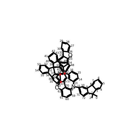 CC1(C)c2ccccc2-c2cc(N(c3cccc(N(c4ccc5c(c4)oc4ccccc45)c4cccc5c4C(c4ccccc4)(c4ccccc4)c4ccccc4-5)c3)c3cccc4oc5ccccc5c34)ccc21